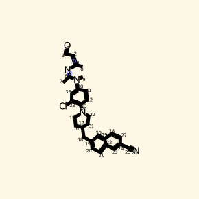 CC(=C/C=O)/N=C(/C)N(C)c1ccc(N2CCC(Cc3ccc4cc(C#N)ccc4c3)CC2)c(Cl)c1